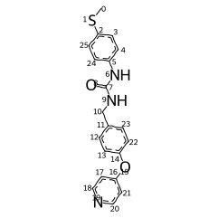 CSc1ccc(NC(=O)NCc2ccc(Oc3ccncc3)cc2)cc1